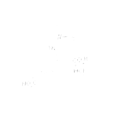 CN(C)N[C@@H](CCC(=O)O)C(=O)O.Cl